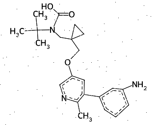 Cc1ncc(OCC2(CN(C(=O)O)C(C)(C)C)CC2)cc1-c1cccc(N)c1